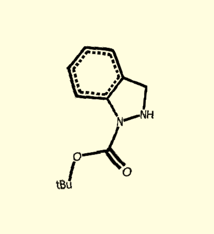 CC(C)(C)OC(=O)N1NCc2ccccc21